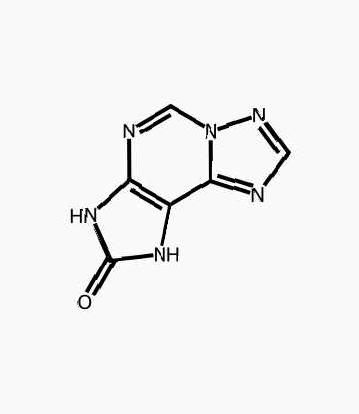 O=c1[nH]c2ncn3ncnc3c2[nH]1